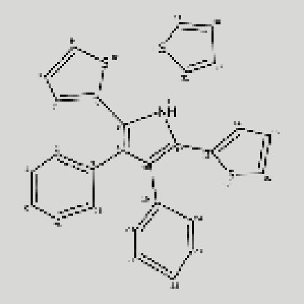 c1ccc(-c2c(-c3cccs3)[nH]c(-c3cccs3)c2-c2ccccc2)cc1.c1ccsc1